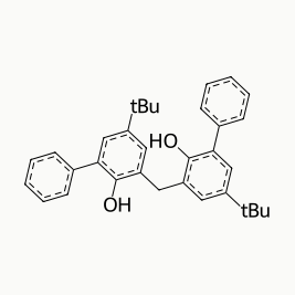 CC(C)(C)c1cc(Cc2cc(C(C)(C)C)cc(-c3ccccc3)c2O)c(O)c(-c2ccccc2)c1